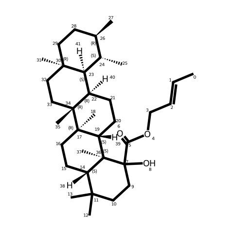 CC=CCOC(=O)C1(O)CCC(C)(C)[C@@H]2CC[C@]3(C)[C@H](CC[C@@H]4[C@@H]5[C@@H](C)[C@H](C)CC[C@]5(C)CC[C@]43C)[C@]21C